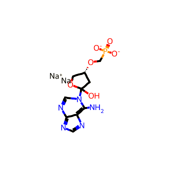 Nc1c2ncnc-2ncn1C1(O)C[C@@H](OCP(=O)([O-])[O-])CO1.[Na+].[Na+]